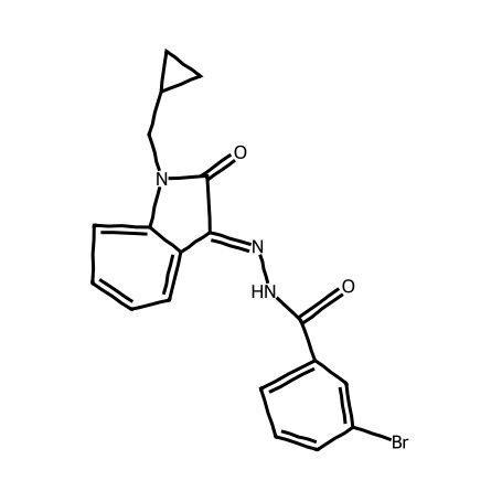 O=C(N/N=C1/C(=O)N(CC2CC2)c2ccccc21)c1cccc(Br)c1